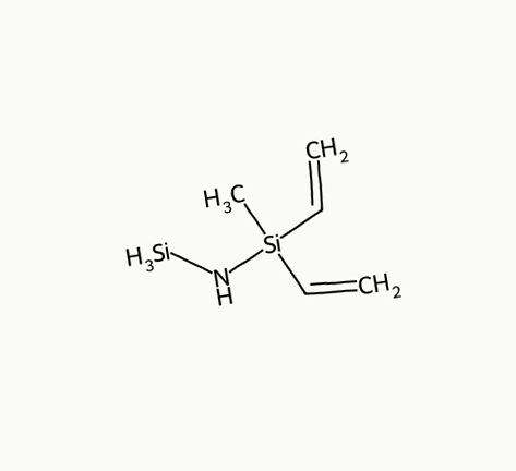 C=C[Si](C)(C=C)N[SiH3]